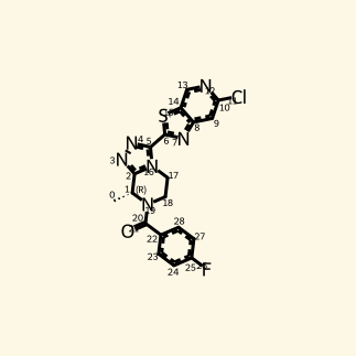 C[C@@H]1c2nnc(-c3nc4cc(Cl)ncc4s3)n2CCN1C(=O)c1ccc(F)cc1